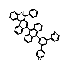 c1ccc(-c2nc3ccccc3c3c2cc(-c2c4ccccc4c(-c4cc(-c5ccncc5)cc(-c5cccnc5)c4)c4ccccc24)c2ccccc23)cc1